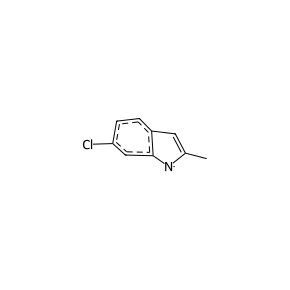 CC1=Cc2ccc(Cl)cc2[N]1